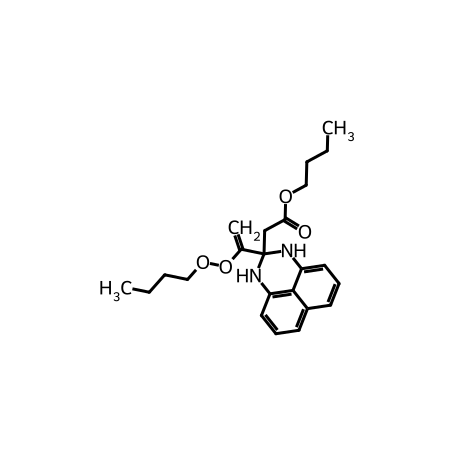 C=C(OOCCCC)C1(CC(=O)OCCCC)Nc2cccc3cccc(c23)N1